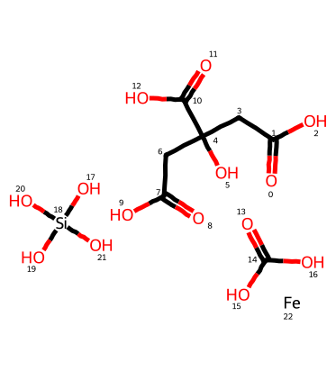 O=C(O)CC(O)(CC(=O)O)C(=O)O.O=C(O)O.O[Si](O)(O)O.[Fe]